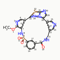 COc1ncc2cc1NS(=O)(=O)c1cccc(c1)C(=O)NCc1cncc(c1)-c1cnc3sc-2nn13